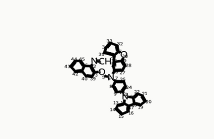 C=Nc1c(OCN(c2ccc(-n3c4ccccc4c4ccccc43)cc2)c2ccc3oc4ccccc4c3c2)ccc2ccccc12